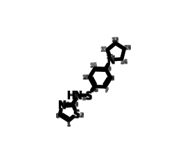 c1csc(NSc2ccc(N3CCCC3)cc2)n1